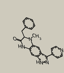 CN1c2cc3c(-c4ccncc4)n[nH]c3cc2NC(=O)C1Cc1ccccc1